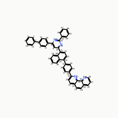 c1ccc(-c2ccc(-c3cc(-c4ccc(-c5ccc(-c6ccc7ccc8cccnc8c7n6)cc5)c5ccccc45)nc(-c4ccccc4)n3)cc2)cc1